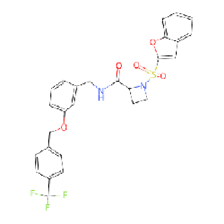 O=C(NCc1cccc(OCc2ccc(C(F)(F)F)cc2)c1)C1CCN1S(=O)(=O)c1cc2ccccc2o1